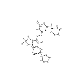 Cc1c(CCC2CC(OC3CCCCO3)CC(=O)O2)c2c(c(C)c1OC(=O)c1ccccc1)CC(C)(C)O2